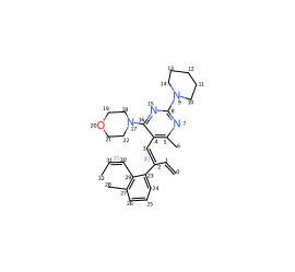 C=C/C(=C\c1c(C)nc(N2CCCCC2)nc1N1CCOCC1)c1cccc(C)c1/C=C\C